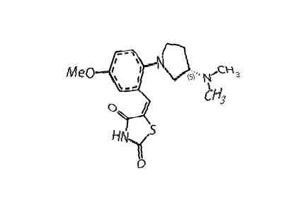 COc1ccc(N2CC[C@H](N(C)C)C2)c(C=C2SC(=O)NC2=O)c1